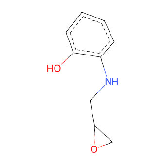 Oc1ccccc1NCC1CO1